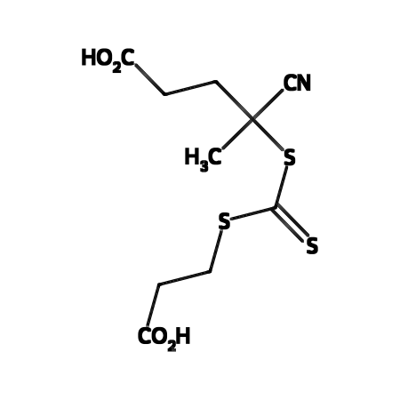 CC(C#N)(CCC(=O)O)SC(=S)SCCC(=O)O